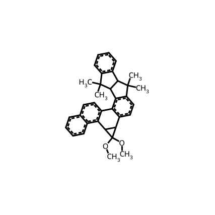 COC1(OC)C2c3ccc4c(c3-c3ccc5ccccc5c3C21)C1C(c2ccccc2C1(C)C)C4(C)C